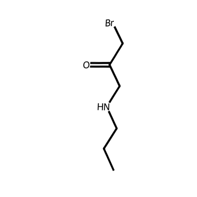 CCCNCC(=O)CBr